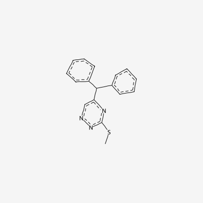 CSc1nncc(C(c2ccccc2)c2ccccc2)n1